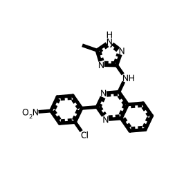 Cc1nc(Nc2nc(-c3ccc([N+](=O)[O-])cc3Cl)nc3ccccc23)n[nH]1